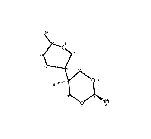 CCC[C@H]1OC[C@@](C)(C2CCC(C)CC2)CO1